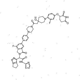 O=C1CCC(Oc2ccc(N3CCC(O)(CC(=O)N4CCN(c5ccc(-c6cc(F)c7c(c6)C(=O)N(C(C(=O)Nc6nccs6)c6ncn8c6CCC8)C7)cc5)CC4)CC3)c(F)c2)C(=O)N1